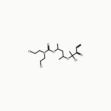 C=CC(=O)C(C)(CC)OC(C)CC(C)OC(=O)N(CCCl)CCCl